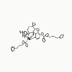 O=C(OCCCCl)Oc1ccc2c3c1OC1C(=O)CC[C@@]4(O)[C@@H](C2)N(C(=O)OCCCCl)CC[C@]314